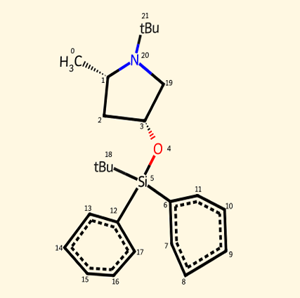 C[C@H]1C[C@@H](O[Si](c2ccccc2)(c2ccccc2)C(C)(C)C)CN1C(C)(C)C